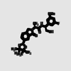 COc1cc(F)cc([C@@H](CO)NC(=O)[C@@H](C)N2Cc3ccc(B4OC(C)(C)C(C)(C)O4)cc3C2=O)c1